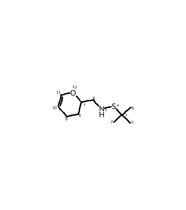 CC(C)(C)SNCC1CCC=CO1